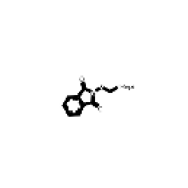 CCCCCCCCSN1C(=O)c2ccccc2C1=O